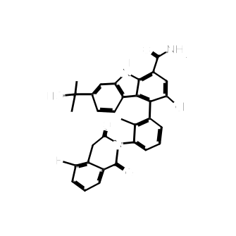 Cc1c(-c2c(Cl)cc(C(N)=O)c3[nH]c4cc(C(C)(C)O)ccc4c23)cccc1N1C(=O)Cc2c(F)cccc2C1=O